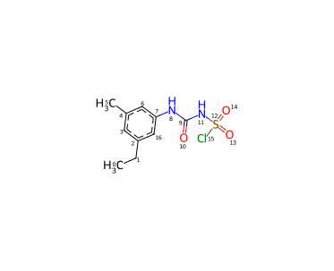 CCc1cc(C)cc(NC(=O)NS(=O)(=O)Cl)c1